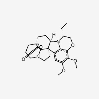 CC[C@@H]1COc2c(OC)c(OC)cc3c2N1[C@@H]1CC[C@@]24CCCN5CC[C@@]31[C@]52OC(=O)C4